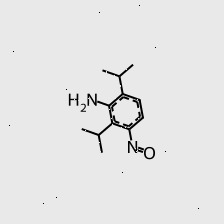 CC(C)c1ccc(N=O)c(C(C)C)c1N